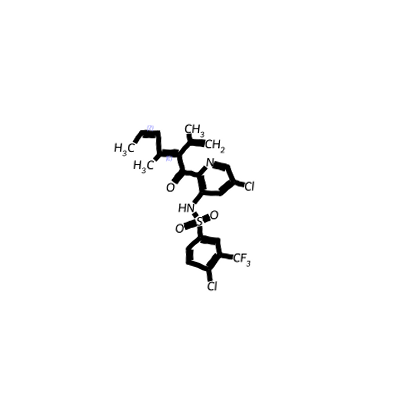 C=C(C)/C(C(=O)c1ncc(Cl)cc1NS(=O)(=O)c1ccc(Cl)c(C(F)(F)F)c1)=C(C)\C=C/C